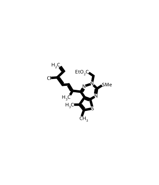 C=C/C(Cl)=C\C=C(/C)C1=NN(CC(=O)OCC)C(SC)=Nc2sc(C)c(C)c21